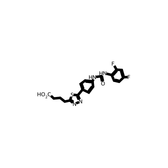 O=C(O)CCCc1nnc(-c2ccc(NC(=O)Nc3ccc(F)cc3F)cc2)s1